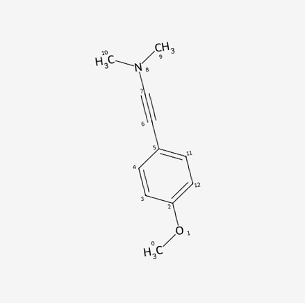 COc1ccc(C#CN(C)C)cc1